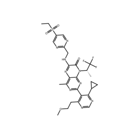 CCS(=O)(=O)c1cnc(CNc2nc3c(C)nc(-c4c(CCOC)ncnc4C4CC4)nc3n([C@@H](C)C(F)(F)F)c2=O)nc1